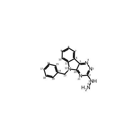 NNc1nnc2c3ccccc3n(Cc3ccccc3)c2n1